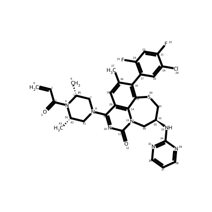 C=CC(=O)N1[C@H](C)CN(c2nc(=O)n3c4c(c(-c5cc(Cl)c(F)cc5F)c(C)cc24)SC[C@@H](Nc2ncccn2)C3)C[C@@H]1C